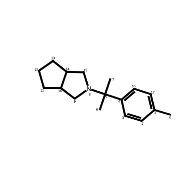 Cc1ccc(C(C)(C)N2CC3CCCC3C2)cc1